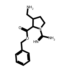 N=C(N)N1CCC(CN)C1C(=O)OCc1ccccc1